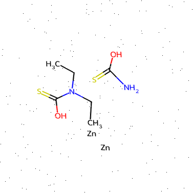 CCN(CC)C(O)=S.NC(O)=S.[Zn].[Zn]